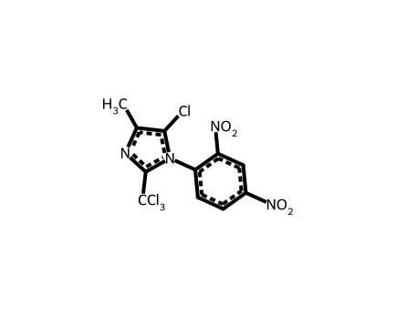 Cc1nc(C(Cl)(Cl)Cl)n(-c2ccc([N+](=O)[O-])cc2[N+](=O)[O-])c1Cl